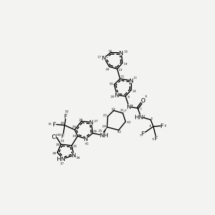 O=C(NCC(F)(F)F)N(c1cnc(-c2cncnc2)cn1)[C@H]1CC[C@H](Nc2ncc(C(F)(F)F)c(-c3n[nH]cc3Cl)n2)CC1